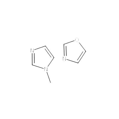 Cn1ccnc1.c1cocn1